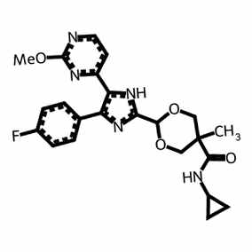 COc1nccc(-c2[nH]c(C3OCC(C)(C(=O)NC4CC4)CO3)nc2-c2ccc(F)cc2)n1